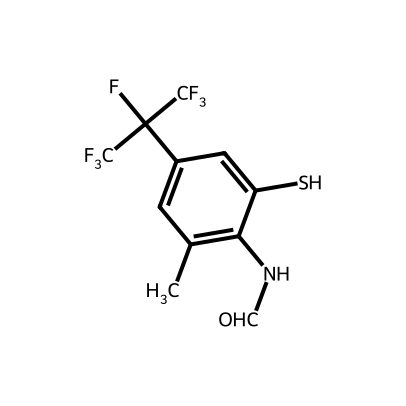 Cc1cc(C(F)(C(F)(F)F)C(F)(F)F)cc(S)c1NC=O